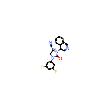 N#C[C@@H]1CN(c2cc(F)cc(F)c2)C(=O)N1c1cncc2ccccc12